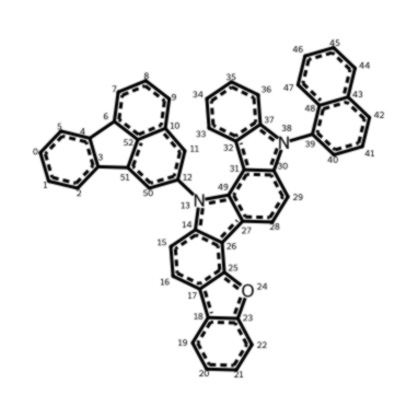 c1ccc2c(c1)-c1cccc3cc(-n4c5ccc6c7ccccc7oc6c5c5ccc6c(c7ccccc7n6-c6cccc7ccccc67)c54)cc-2c13